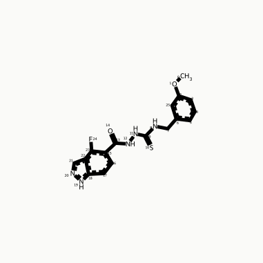 COc1cccc(CNC(=S)NNC(=O)c2ccc3[nH]ncc3c2F)c1